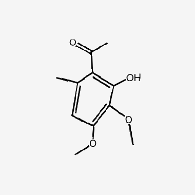 COc1cc(C)c(C(C)=O)c(O)c1OC